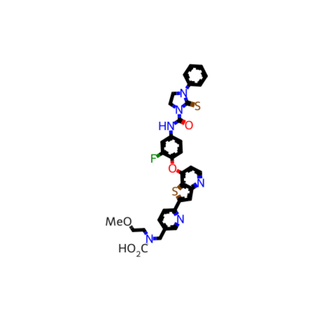 COCCN(Cc1ccc(-c2cc3nccc(Oc4ccc(NC(=O)N5CCN(c6ccccc6)C5=S)cc4F)c3s2)nc1)C(=O)O